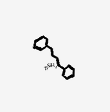 C(C=Cc1ccccc1)=Cc1ccccc1.[SiH4].[Ti]